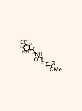 COC(=O)CCSCC(=O)NCCc1cccc(Cl)c1